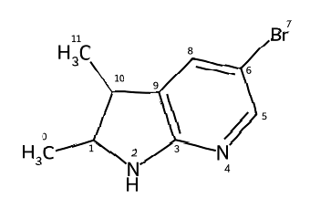 CC1Nc2ncc(Br)cc2C1C